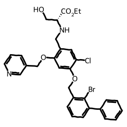 CCOC(=O)[C@@H](CO)NCc1cc(Cl)c(OCc2cccc(-c3ccccc3)c2Br)cc1OCc1cccnc1